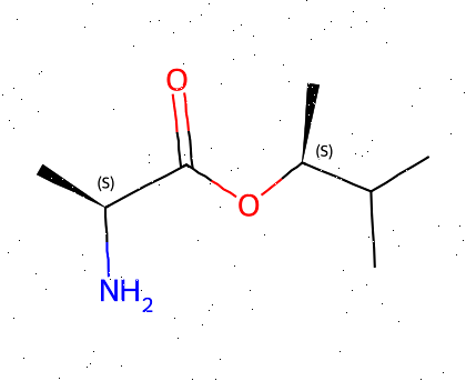 CC(C)[C@H](C)OC(=O)[C@H](C)N